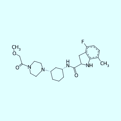 COCC(=O)N1CCN([C@H]2CCC[C@@H](NC(=O)C3Cc4c(F)ccc(C)c4N3)C2)CC1